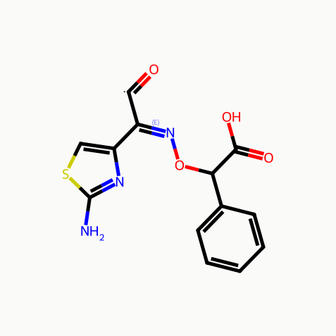 Nc1nc(/C([C]=O)=N\OC(C(=O)O)c2ccccc2)cs1